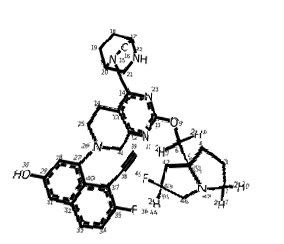 [2H]C1([2H])CC[C@@]2(C([2H])([2H])Oc3nc4c(c(N5CC6CCC5CN6)n3)CCN(c3cc(O)cc5ccc(F)c(C#C)c35)C4)C[C@@]([2H])(F)CN12